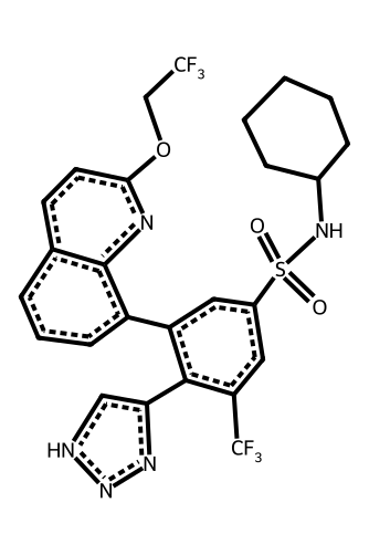 O=S(=O)(NC1CCCCC1)c1cc(-c2cccc3ccc(OCC(F)(F)F)nc23)c(-c2c[nH]nn2)c(C(F)(F)F)c1